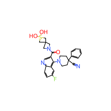 N#CC1(c2ccccc2)CCN(c2c(C(=O)N3CC4(C3)CS(O)(O)C4)cnc3ccc(F)cc23)CC1